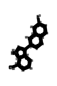 Fc1ccc2ccc(-c3c[nH]c4c(Cl)cccc34)nc2c1